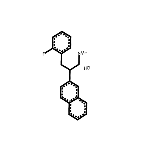 CNCC(Cc1ccccc1F)c1ccc2ccccc2c1.Cl